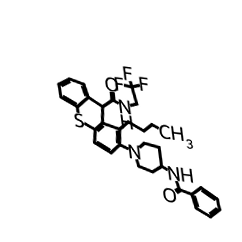 CCCCc1c(N2CCC(NC(=O)c3ccccc3)CC2)ccc2c1C(C(=O)NCC(F)(F)F)c1ccccc1S2